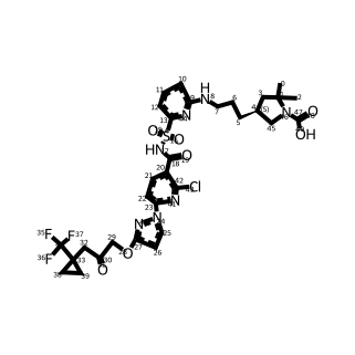 CC1(C)C[C@H](CCCNc2cccc(S(=O)(=O)NC(=O)c3ccc(-n4ccc(OCC(=O)CC5(C(F)(F)F)CC5)n4)nc3Cl)n2)CN1C(=O)O